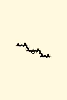 CC(C)CCCC(C)CCCC(C)CCOCCC(C)CCCC(C)CCCC(C)C